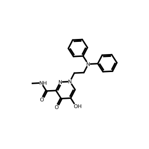 CNC(=O)c1nn(CCN(c2ccccc2)c2ccccc2)cc(O)c1=O